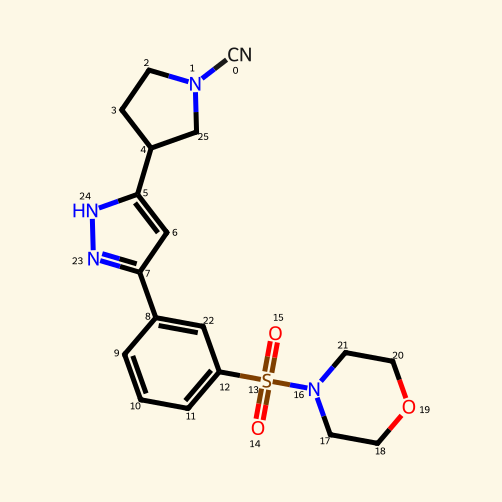 N#CN1CCC(c2cc(-c3cccc(S(=O)(=O)N4CCOCC4)c3)n[nH]2)C1